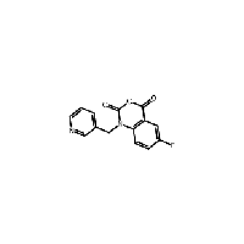 O=c1oc(=O)n(Cc2cccnc2)c2ccc(F)cc12